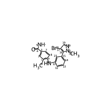 Cc1cc(C([NH])=O)ccc1Nc1cccc(-c2c(Br)cnn2C)c1